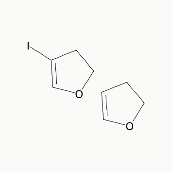 C1=COCC1.IC1=COCC1